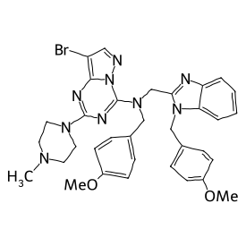 COc1ccc(CN(Cc2nc3ccccc3n2Cc2ccc(OC)cc2)c2nc(N3CCN(C)CC3)nc3c(Br)cnn23)cc1